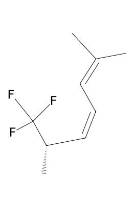 CC(C)=C/C=C\[C@H](C)C(F)(F)F